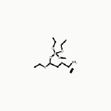 C=C.CCOC(CCCN)O[Si](OC)(OCC)OCC